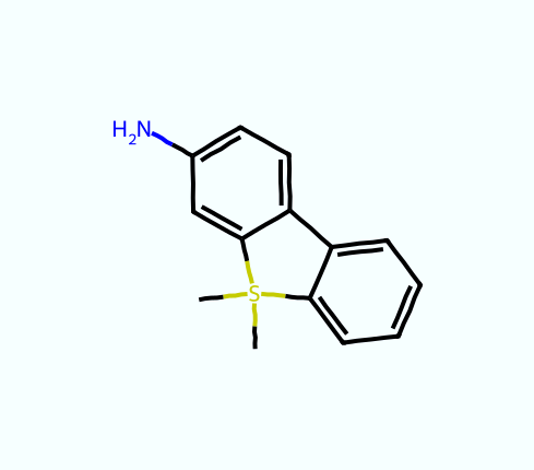 CS1(C)c2ccccc2-c2ccc(N)cc21